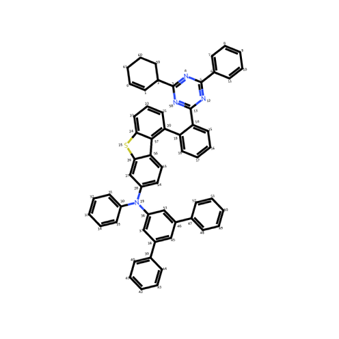 C1=CC(c2nc(-c3ccccc3)nc(-c3ccccc3-c3cccc4sc5cc(N(c6ccccc6)c6cc(-c7ccccc7)cc(-c7ccccc7)c6)ccc5c34)n2)CCC1